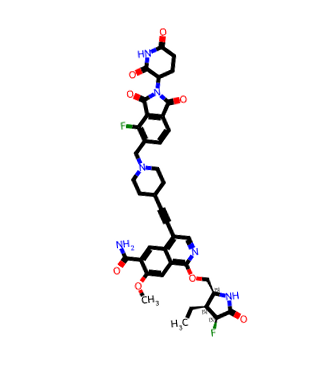 CC[C@@H]1[C@H](F)C(=O)N[C@@H]1COc1ncc(C#CC2CCN(Cc3ccc4c(c3F)C(=O)N(C3CCC(=O)NC3=O)C4=O)CC2)c2cc(C(N)=O)c(OC)cc12